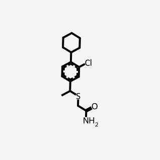 CC(SCC(N)=O)c1ccc(C2CCCCC2)c(Cl)c1